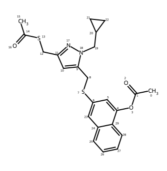 CC(=O)Oc1cc(SCc2cc(CSC(C)=O)nn2CC2CC2)cc2ccccc12